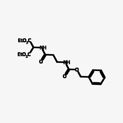 CCOC(=O)C(NC(=O)CCNC(=O)OCc1ccccc1)C(=O)OCC